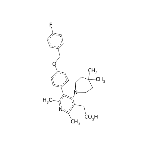 Cc1nc(C)c(-c2ccc(OCc3ccc(F)cc3)cc2)c(N2CCC(C)(C)CC2)c1CC(=O)O